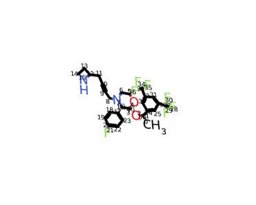 C[C@@H](O[C@H]1OCCN(CC#CCC2CCN2)[C@H]1c1ccc(F)cc1)c1cc(C(F)(F)F)cc(C(F)(F)F)c1